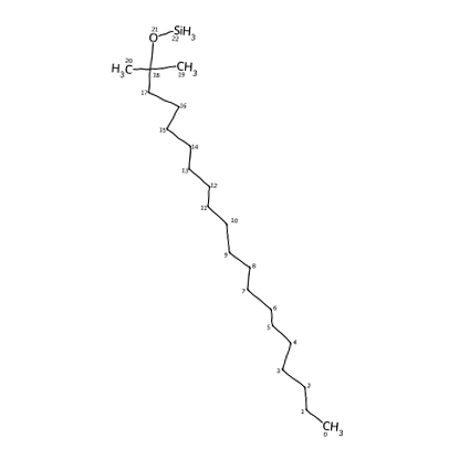 CCCCCCCCCCCCCCCCCCC(C)(C)O[SiH3]